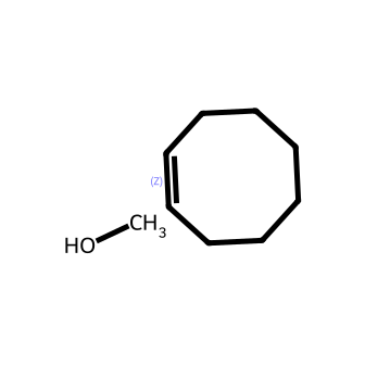 C1=C\CCCCCC/1.CO